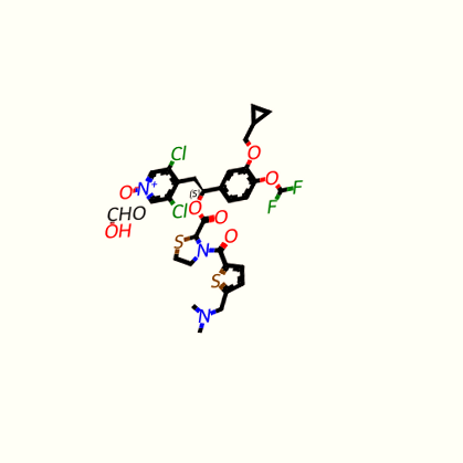 CN(C)Cc1ccc(C(=O)N2CCSC2C(=O)O[C@@H](Cc2c(Cl)c[n+]([O-])cc2Cl)c2ccc(OC(F)F)c(OCC3CC3)c2)s1.O=CO